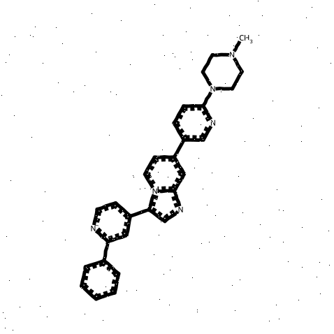 CN1CCN(c2ccc(-c3ccn4c(-c5ccnc(-c6ccccc6)c5)cnc4c3)cn2)CC1